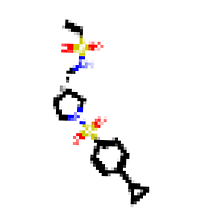 C=CS(=O)(=O)NC[C@H]1CCN(S(=O)(=O)c2ccc(C3CC3)cc2)C1